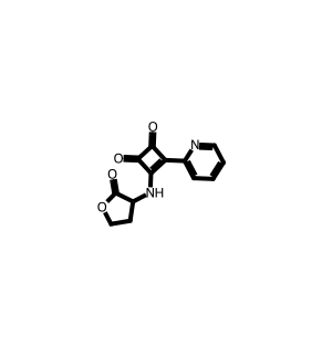 O=C1OCCC1Nc1c(-c2ccccn2)c(=O)c1=O